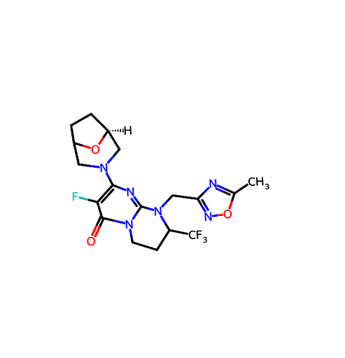 Cc1nc(CN2c3nc(N4CC5CC[C@@H](C4)O5)c(F)c(=O)n3CCC2C(F)(F)F)no1